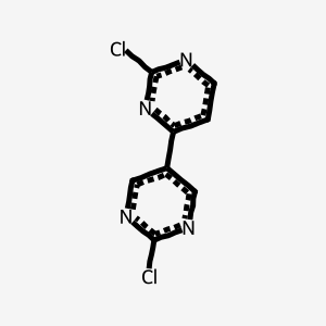 Clc1ncc(-c2ccnc(Cl)n2)cn1